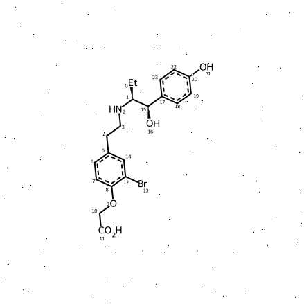 CC[C@H](NCCc1ccc(OCC(=O)O)c(Br)c1)[C@H](O)c1ccc(O)cc1